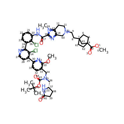 COC(=O)C12CCC(CCN3CCc4c(nc(C(=O)Nc5cccc(-c6nccc(-c7ccc(CN(C[C@@H]8CCC(=O)N8)C(=O)OC(C)(C)C)c(OC)n7)c6Cl)c5Cl)n4C)C3)(CC1)C2